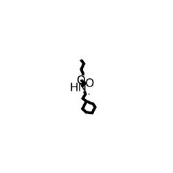 CCCCOC(=O)N[CH]CC1CCCCC1